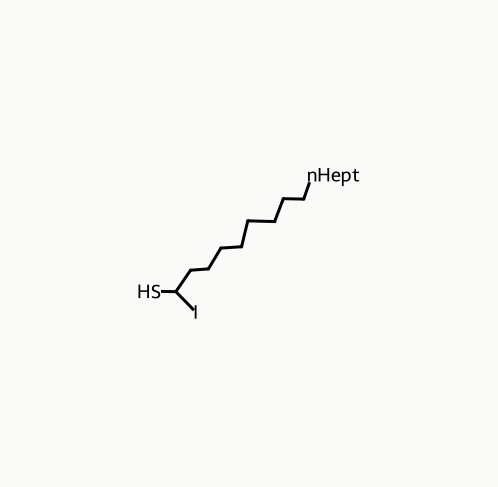 CCCCCCCCCCCCCCCC(S)I